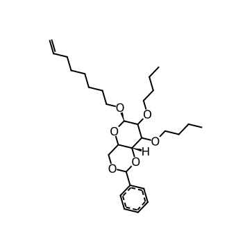 C=CCCCCCCO[C@@H]1OC2COC(c3ccccc3)O[C@H]2C(OCCCC)C1OCCCC